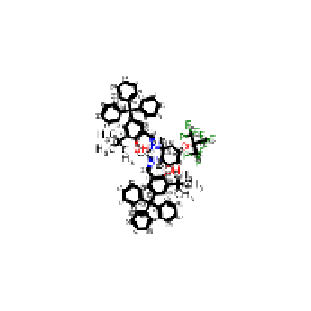 CC(C)(C)c1cc(C(c2ccccc2)(c2ccccc2)c2ccccc2)cc(C=[N+]2[Co][N+](=Cc3cc(C(c4ccccc4)(c4ccccc4)c4ccccc4)cc(C(C)(C)C)c3O)[C@@H]3CCCC[C@H]32)c1O.[O-]C(C(F)(F)F)(C(F)(F)F)C(F)(F)F